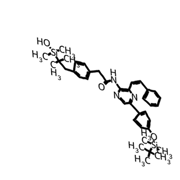 CC(C)(Cc1ccc(CC(=O)Nc2ncc(-c3ccc(O[Si](C)(C)C(C)(C)C)cc3)nc2/C=C\c2ccccc2)cc1)[Si](C)(C)O